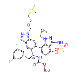 CC(C)(C)OC(=O)N[C@@H](Cc1cc(F)cc(F)c1)c1nc2cnn(COCCS(C)(C)C)c2cc1-c1ccc(Cl)c2c(NS(C)(=O)=O)nn(CC(F)(F)F)c12